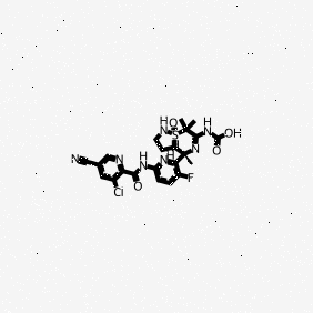 CC1(C)C(NC(=O)O)=N[C@](C)(c2nc(NC(=O)c3ncc(C#N)cc3Cl)ccc2F)[C@H]2CCN[SH]21=O